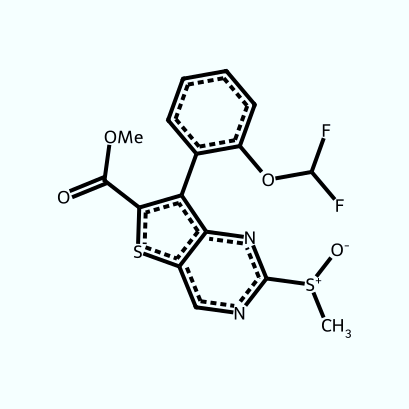 COC(=O)c1sc2cnc([S+](C)[O-])nc2c1-c1ccccc1OC(F)F